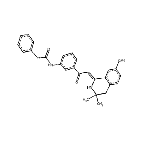 COc1ccc2c(c1)C(=CC(=O)c1cccc(NC(=O)Cc3ccccc3)c1)NC(C)(C)C2